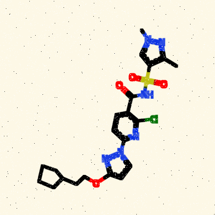 Cc1nn(C)cc1S(=O)(=O)NC(=O)c1ccc(-n2ccc(OCCC3CCCC3)n2)nc1Cl